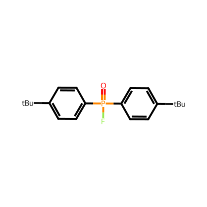 CC(C)(C)c1ccc(P(=O)(F)c2ccc(C(C)(C)C)cc2)cc1